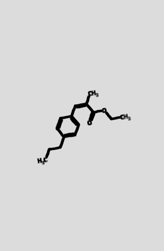 CCCc1ccc(C=C(C)C(=O)OCC)cc1